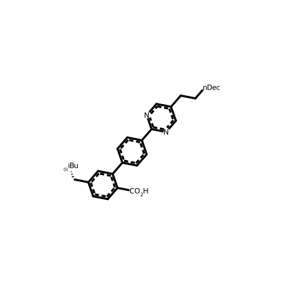 CCCCCCCCCCCCc1cnc(-c2ccc(-c3cc(C[C@@H](C)CC)ccc3C(=O)O)cc2)nc1